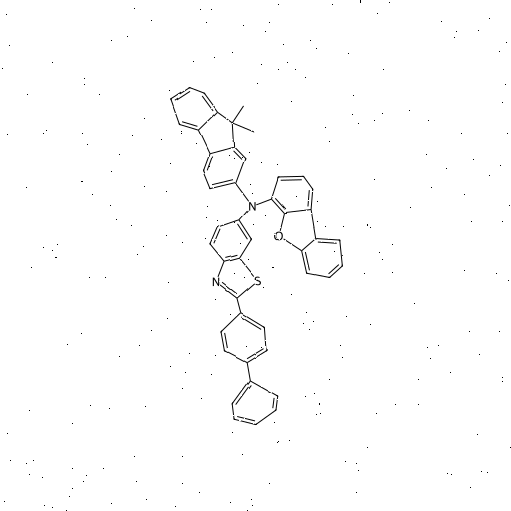 CC1(C)c2ccccc2-c2ccc(N(c3ccc4nc(-c5ccc(-c6ccccc6)cc5)sc4c3)c3cccc4c3oc3ccccc34)cc21